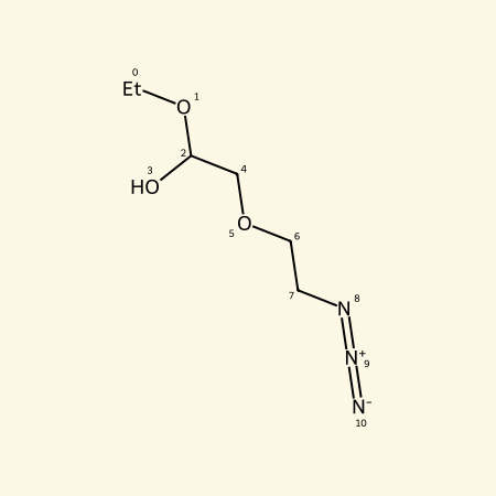 CCOC(O)COCCN=[N+]=[N-]